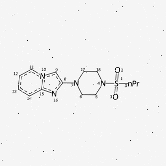 CCCS(=O)(=O)N1CCN(c2cn3ccccc3n2)CC1